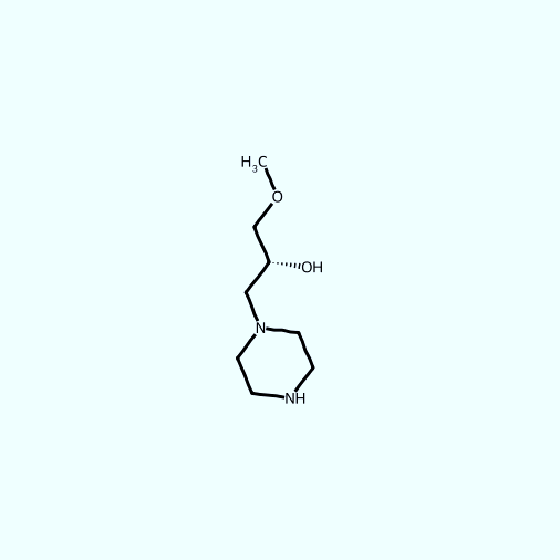 COC[C@H](O)CN1CCNCC1